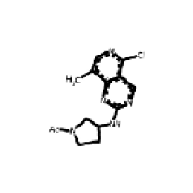 CC(=O)N1CCC(Nc2ncc3c(Cl)ncc(C)c3n2)C1